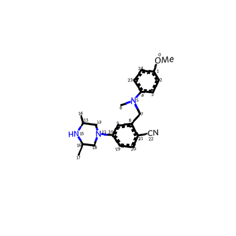 COc1ccc(N(C)Cc2cc(N3CC(C)NC(C)C3)ccc2C#N)cc1